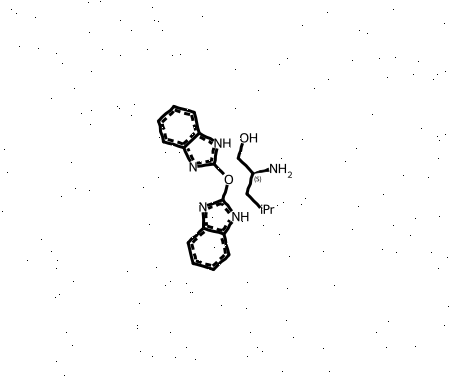 CC(C)C[C@H](N)CO.c1ccc2[nH]c(Oc3nc4ccccc4[nH]3)nc2c1